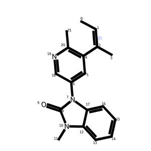 C/C=C(/C)c1cc(-n2c(=O)n(C)c3ccccc32)cnc1C